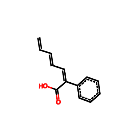 C=CC=CC=C(C(=O)O)c1ccccc1